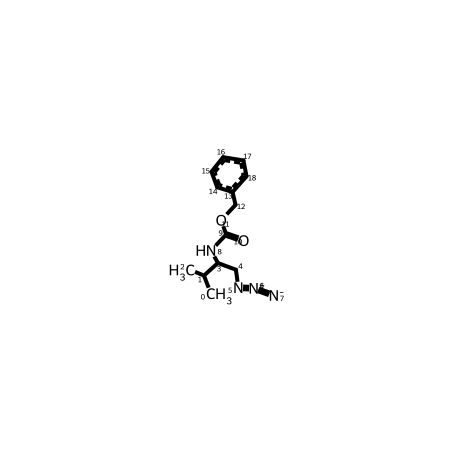 CC(C)C(CN=[N+]=[N-])NC(=O)OCc1ccccc1